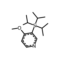 COc1ccncc1[Si](C(C)C)(C(C)C)C(C)C